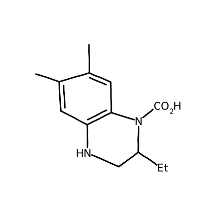 CCC1CNc2cc(C)c(C)cc2N1C(=O)O